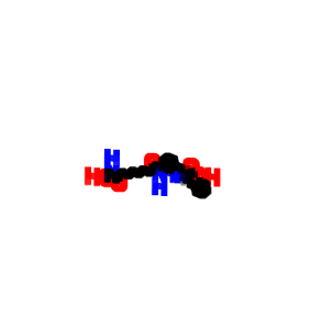 O=C(CCCCCCC(=O)Nc1cccc(CN[C@@H](Cc2ccccc2)C(=O)O)c1)NO